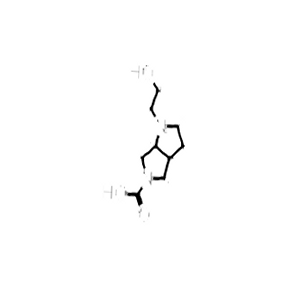 O=C(O)N1CC2CCN(CCO)C2C1